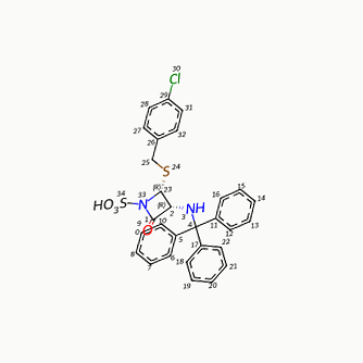 O=C1[C@@H](NC(c2ccccc2)(c2ccccc2)c2ccccc2)[C@@H](SCc2ccc(Cl)cc2)N1S(=O)(=O)O